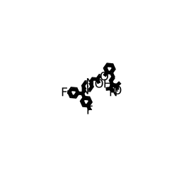 Cc1noc(C)c1C=Cc1ccccc1OCC(O)CN1CCN(C(c2ccc(F)cc2)c2ccc(F)cc2)CC1